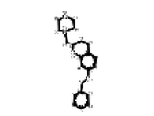 c1ccc(COc2ccc3c(c2)O[C@@H](CN2CCOCC2)CC3)cc1